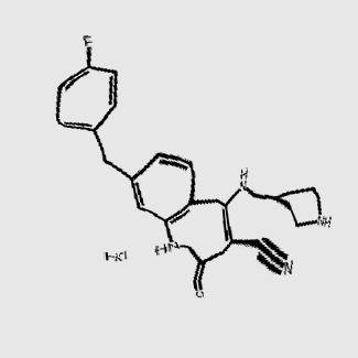 Cl.N#Cc1c(NC2CNC2)c2ccc(Cc3ccc(F)cc3)cc2[nH]c1=O